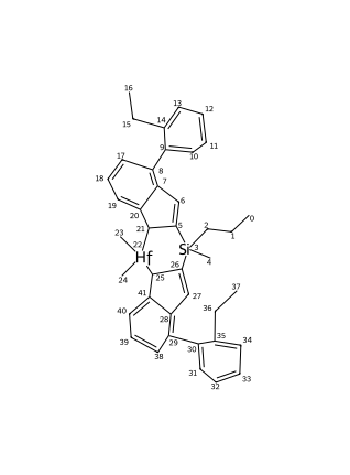 CCC[Si]1(C)C2=Cc3c(-c4ccccc4CC)cccc3[CH]2[Hf]([CH3])([CH3])[CH]2C1=Cc1c(-c3ccccc3CC)cccc12